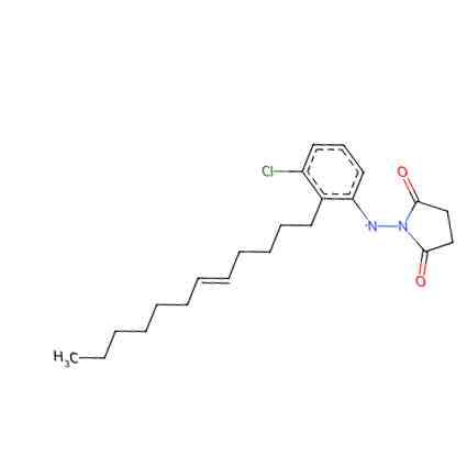 CCCCCCC=CCCCCc1c(Cl)cccc1[N]N1C(=O)CCC1=O